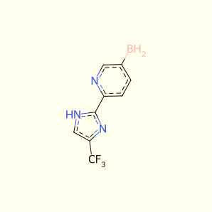 Bc1ccc(-c2nc(C(F)(F)F)c[nH]2)nc1